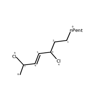 CCCCCCCC(Cl)C=CC(C)Cl